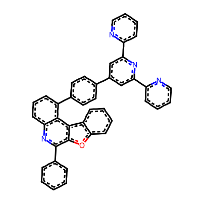 c1ccc(-c2nc3cccc(-c4ccc(-c5cc(-c6ccccn6)nc(-c6ccccn6)c5)cc4)c3c3c2oc2ccccc23)cc1